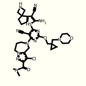 CN(C)C(=O)c1nn2c(c1Cl)CN(c1nc(OCC3(CN4CCOCC4)CC3)nc([SH]3C(N)=C(C#N)C4=C3CCC43CNC3)c1C#N)CCC2